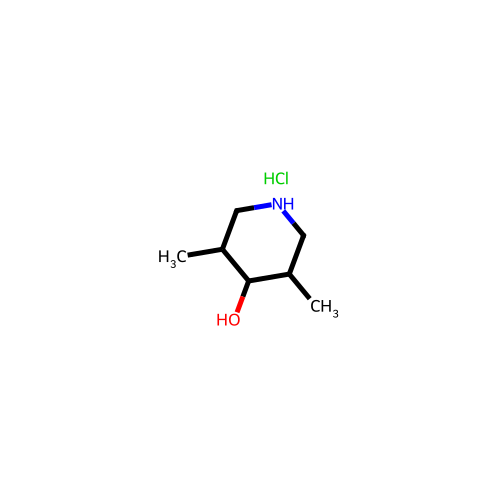 CC1CNCC(C)C1O.Cl